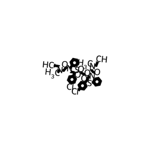 C#CCN(C)CC(=O)N1CC(OC(=O)C(=O)OC2(c3ccc(Cl)cc3)CN(C(=O)CN(C)CC#C)c3ccccc3S2)(c2ccc(Cl)cc2)Sc2ccccc21